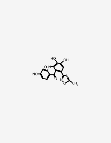 Cc1nc(-c2cc(O)c(O)c([N+](=O)[O-])c2C(=O)c2ccc(C#N)cc2)no1